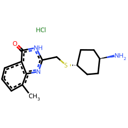 Cc1cccc2c(=O)[nH]c(CS[C@H]3CC[C@H](N)CC3)nc12.Cl